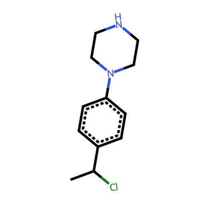 CC(Cl)c1ccc(N2CCNCC2)cc1